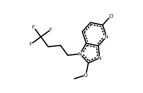 COc1nc2nc(Cl)ccc2n1CCCC(F)(F)F